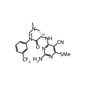 CSc1nc(N)nc(N[C@@H](CN(C)C)C(=O)Nc2cccc(C(F)(F)F)c2)c1C#N